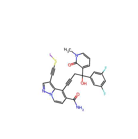 Cn1cccc(C(O)(CC#Cc2c(C(N)=O)ccn3ncc(C#CSI)c23)c2cc(F)cc(F)c2)c1=O